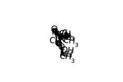 CNC[C@@H](O)COc1ccc(Cl)c(-c2nc(-c3c(C)noc3C)c(C)c(N3CC4(CCOC4)C3)n2)c1